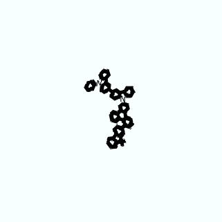 CC1(C)c2ccccc2-c2ccc(-c3cccc4c5ccc(-n6c7ccccc7c7cc(-c8ccc9c(c8)c8ccccc8n9-c8ccccc8)ccc76)cc5c5ccccc5c34)cc21